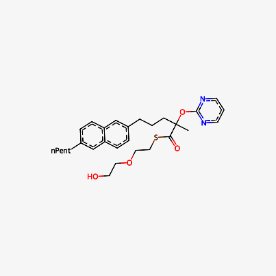 CCCCCc1ccc2cc(CCCC(C)(Oc3ncccn3)C(=O)SCCOCCO)ccc2c1